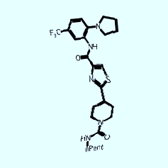 CCCCCNC(=O)N1CCC(c2nc(C(=O)Nc3cc(C(F)(F)F)ccc3N3CCCC3)cs2)CC1